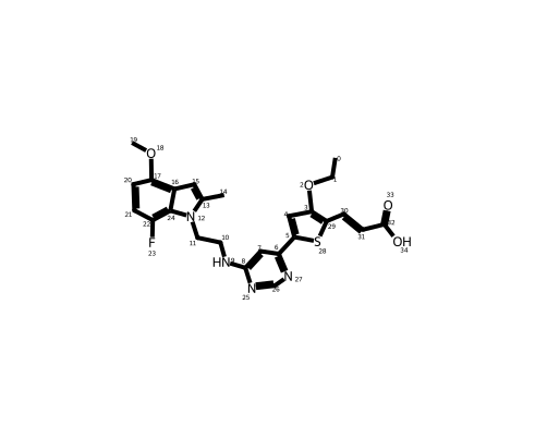 CCOc1cc(-c2cc(NCCn3c(C)cc4c(OC)ccc(F)c43)ncn2)sc1/C=C/C(=O)O